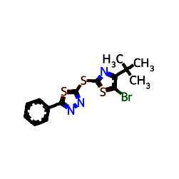 CC(C)(C)c1nc(Sc2nnc(-c3ccccc3)s2)sc1Br